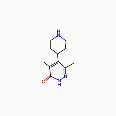 Cc1n[nH]c(=O)c(C)c1C1CCNCC1